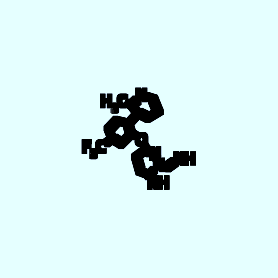 Cc1ncccc1-c1ccc(C(F)(F)F)cc1Oc1ccc(=N)n(C=N)n1